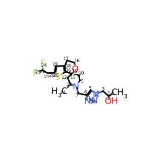 CC(O)Cn1cc(CN2CC[C@]3(C[C@@H]2C)OCCc2cc(CC(F)F)sc23)nn1